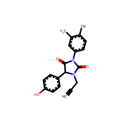 C#CCN1C(=O)N(c2ccc(C#N)c(C(F)(F)F)c2)C(=O)C1c1ccc(O)cc1